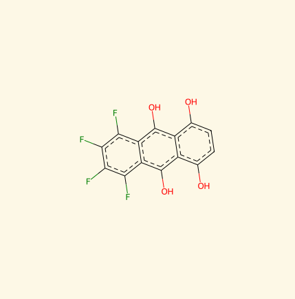 Oc1ccc(O)c2c(O)c3c(F)c(F)c(F)c(F)c3c(O)c12